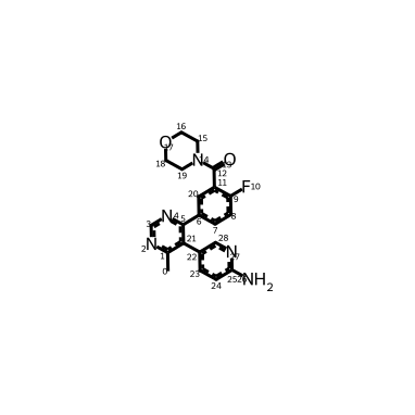 Cc1ncnc(-c2ccc(F)c(C(=O)N3CCOCC3)c2)c1-c1ccc(N)nc1